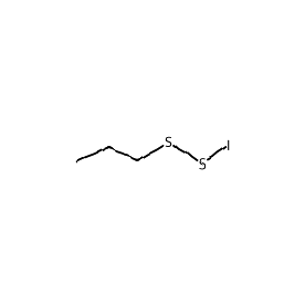 CCCSSI